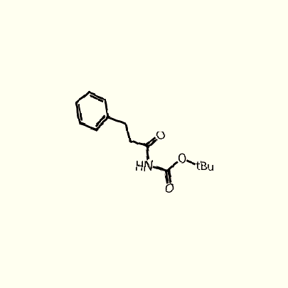 CC(C)(C)OC(=O)NC(=O)CCc1ccccc1